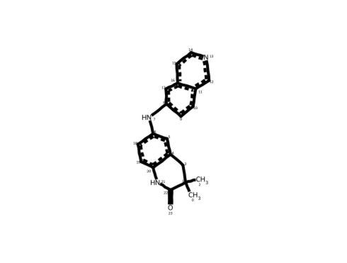 CC1(C)Cc2cc(Nc3ccc4cnccc4c3)ccc2NC1=O